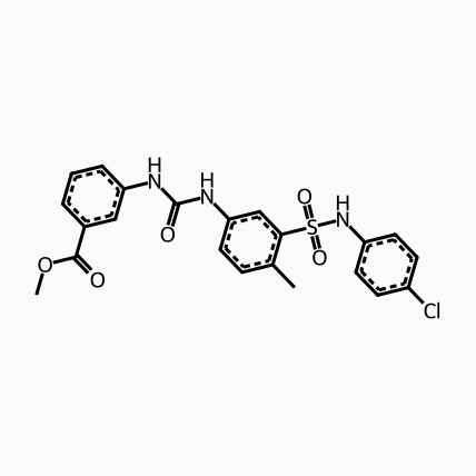 COC(=O)c1cccc(NC(=O)Nc2ccc(C)c(S(=O)(=O)Nc3ccc(Cl)cc3)c2)c1